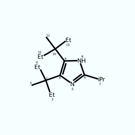 CCC(C)(CC)c1nc(C(C)C)[nH]c1C(C)(CC)CC